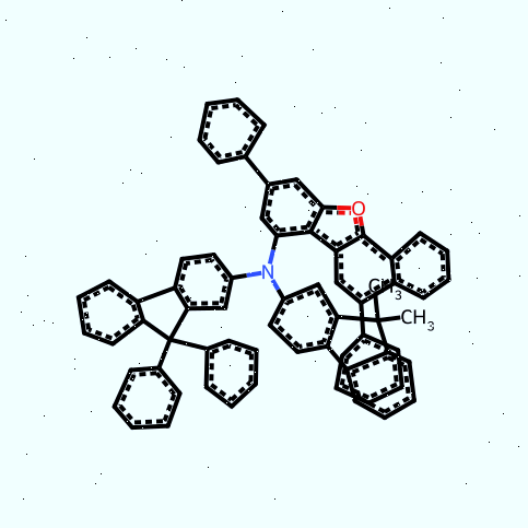 CC1(C)c2ccccc2-c2ccc(N(c3ccc4c(c3)C(c3ccccc3)(c3ccccc3)c3ccccc3-4)c3cc(-c4ccccc4)cc4oc5c6ccccc6c(-c6ccccc6)cc5c34)cc21